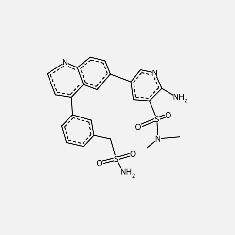 CN(C)S(=O)(=O)c1cc(-c2ccc3nccc(-c4cccc(CS(N)(=O)=O)c4)c3c2)cnc1N